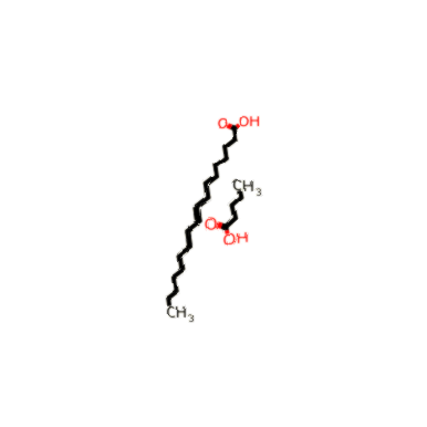 CCCCC(=O)O.CCCCCCCCC=CCCCCCCCC(=O)O